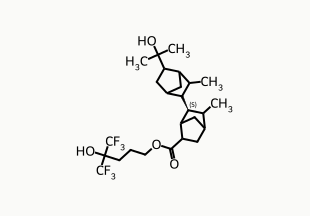 CC1C2CC(CC2C(C)(C)O)C1[C@H]1C(C)C2CC(C(=O)OCCCC(O)(C(F)(F)F)C(F)(F)F)C1C2